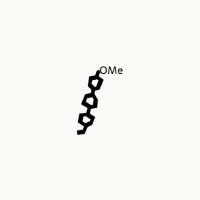 C=Cc1ccc(-c2ccc(-c3ccc(COC)cc3)cc2)cc1